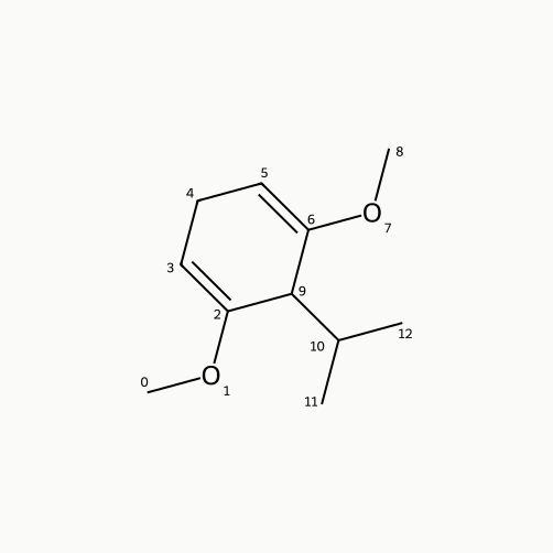 COC1=CCC=C(OC)C1C(C)C